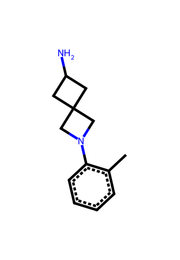 Cc1ccccc1N1CC2(CC(N)C2)C1